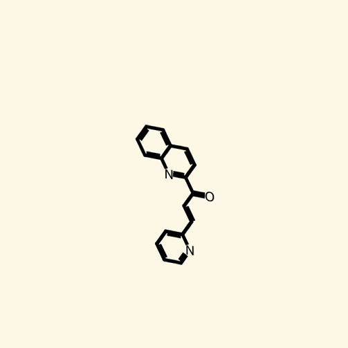 O=C(C=Cc1ccccn1)c1ccc2ccccc2n1